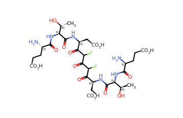 C[C@@H](O)[C@H](NC(=O)[C@@H](N)CCC(=O)O)C(=O)N[C@@H](CC(=O)O)C(=O)C(F)C(=O)C(F)C(=O)[C@H](CC(=O)O)NC(=O)[C@@H](NC(=O)[C@@H](N)CCC(=O)O)[C@@H](C)O